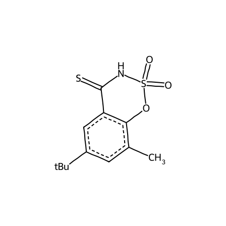 Cc1cc(C(C)(C)C)cc2c1OS(=O)(=O)NC2=S